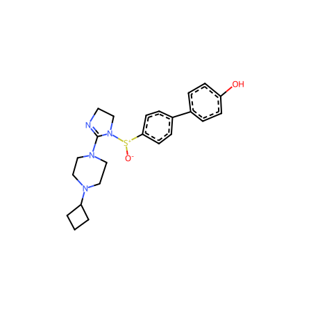 [O-][S+](c1ccc(-c2ccc(O)cc2)cc1)N1CCN=C1N1CCN(C2CCC2)CC1